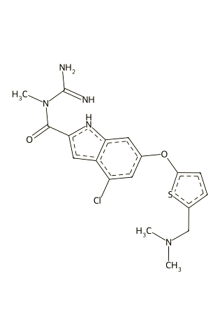 CN(C)Cc1ccc(Oc2cc(Cl)c3cc(C(=O)N(C)C(=N)N)[nH]c3c2)s1